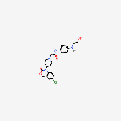 CCN(CCO)c1ccc(NC(=O)CN2CCC(N3C(=O)OCc4cc(Cl)ccc43)CC2)cc1